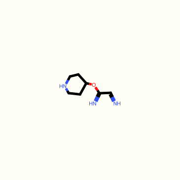 N=CC(=N)OC1CCNCC1